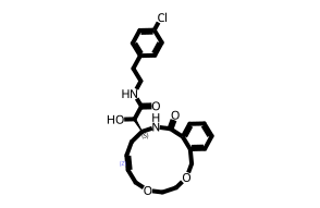 O=C1N[C@H](C(O)C(=O)NCCc2ccc(Cl)cc2)C/C=C\COCCOCc2ccccc21